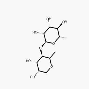 CC1OC[C@H](O)[C@H](O)[C@H]1O[C@@H]1O[C@@H](C)[C@H](O)[C@@H](O)[C@H]1O